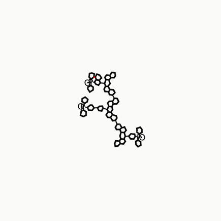 O=P(c1ccccc1)(c1ccccc1)c1ccc(-c2ccc(-c3c4ccc5cc(-c6ccc7c(ccc8c(-c9ccc(P(=O)(c%10ccccc%10)c%10ccccc%10)cc9)c9ccc%10ccccc%10c9cc87)c6)ccc5c4cc4c3ccc3c(-c5ccc6c(ccc7c(-c8ccc(P(=O)(c9ccccc9)c9ccccc9)c9ccccc89)c8ccc9ccccc9c8cc76)c5)cccc34)cc2)cc1